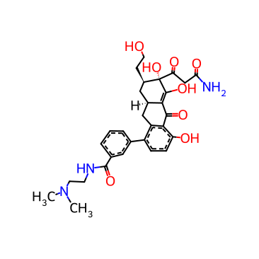 CN(C)CCNC(=O)c1cccc(-c2ccc(O)c3c2C[C@H]2C[C@@H](CCO)[C@@](O)(C(=O)CC(N)=O)C(O)=C2C3=O)c1